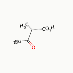 C[C@H](C(=O)O)C(=O)C(C)(C)C